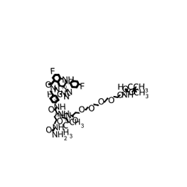 CC(C)[C@H](NC(=O)CCOCCOCCOCCOCCONC(=O)OC(C)(C)C)C(=O)N[C@@H](CCCNC(N)=O)C(=O)Nc1ccc(Cn2nc3c4c(cc(F)cc4c2=O)N[C@H](c2ccc(F)cc2)[C@H]3c2ncnn2C)cc1